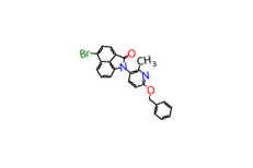 Cc1nc(OCc2ccccc2)ccc1N1C(=O)c2ccc(Br)c3cccc1c23